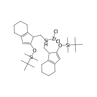 CC(C)(C)[Si](C)(C)OC1=CC2=C(CCCC2)C1C[SiH](CC1C(O[Si](C)(C)C(C)(C)C)=CC2=C1CCCC2)[Zr]([Cl])[Cl]